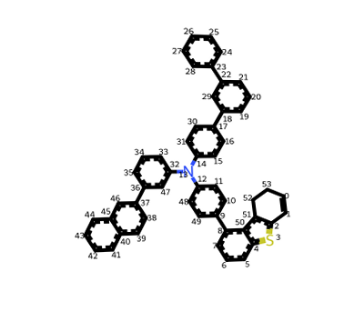 C1=Cc2sc3cccc(-c4ccc(N(c5ccc(-c6cccc(-c7ccccc7)c6)cc5)c5cccc(-c6ccc7ccccc7c6)c5)cc4)c3c2CC1